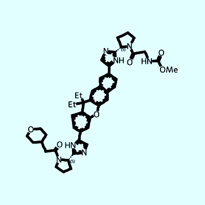 CCC1(CC)c2ccc(-c3cnc([C@@H]4CCCN4C(=O)CC4CCOCC4)[nH]3)cc2Oc2cc3ccc(-c4cnc([C@@H]5CCCN5C(=O)CNC(=O)OC)[nH]4)cc3cc21